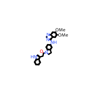 COc1cc2ncnc(Nc3ccc4c(c3)CCN4C(=O)Cc3c[nH]c4ccccc34)c2cc1OC